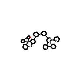 c1ccc(-c2nc(-c3cccc(-c4cccc(-c5ccc6c(c5)C5(c7ccccc7O6)c6ccccc6-c6ccccc65)c4)c3)cc(-c3ccccc3-c3ccccc3)n2)cc1